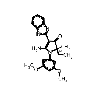 CC[C@@]1(C)C(=O)C(c2nc3ccccc3[nH]2)=C(N)N1c1cc(OC)cc(OC)c1